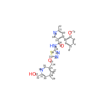 COc1ccc(C)cc1-c1cc(C)ncc1C(=O)Nc1nnc(OCC2=C(C)C(C)C=C(CO)N=C2)s1